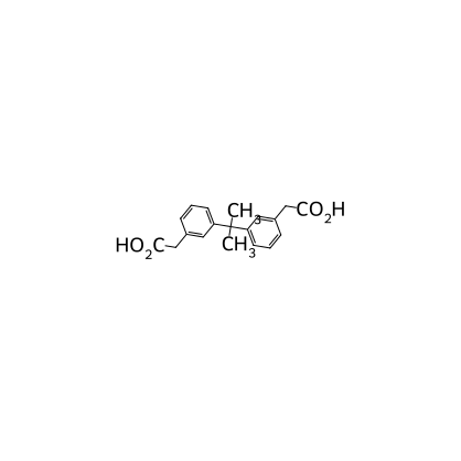 CC(C)(c1cccc(CC(=O)O)c1)c1cccc(CC(=O)O)c1